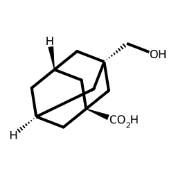 O=C(O)[C@@]12C[C@@H]3C[C@@H](C[C@@](CO)(C3)C1)C2